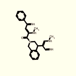 CN/C=C(\C=N)C1CN(C(=O)/C(=C/C(=N)c2ccccc2)NC)Cc2ccccc21